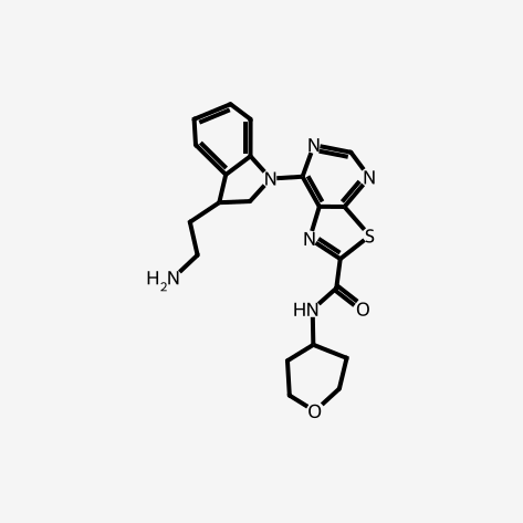 NCCC1CN(c2ncnc3sc(C(=O)NC4CCOCC4)nc23)c2ccccc21